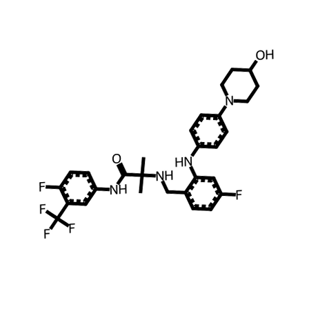 CC(C)(NCc1ccc(F)cc1Nc1ccc(N2CCC(O)CC2)cc1)C(=O)Nc1ccc(F)c(C(F)(F)F)c1